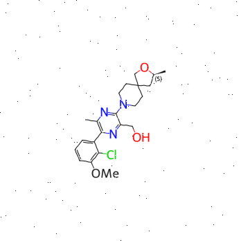 COc1cccc(-c2nc(CO)c(N3CCC4(CC3)CO[C@@H](C)C4)nc2C)c1Cl